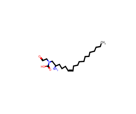 CCCCCCCCCCC/C=C\CCCC(N)CN(CC=O)C(=O)O